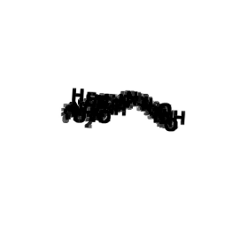 Cc1cccc(NC(=O)c2cc(F)c(-c3nn4c(c3C(N)=O)Nc3ccc(N5CCN(CC6CCN(c7ccc(N8CCC(=O)NC8=O)c(C)c7)CC6)CC5)cc3CC4)c(F)c2C)n1